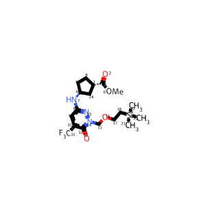 COC(=O)[C@H]1CC[C@H](Nc2cc(C(F)(F)F)c(=O)n(COCC[Si](C)(C)C)n2)C1